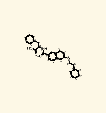 O=C(NC(Cc1ccccc1)C(=O)O)c1ccc2cc(OCCc3ccccc3)ccc2c1